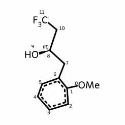 COc1ccccc1C[C@@H](O)CC(F)(F)F